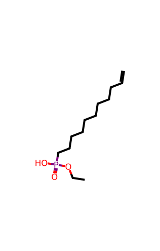 C=CCCCCCCCCCP(=O)(O)OCC